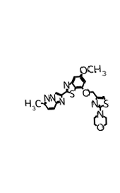 COc1cc(OCc2csc(N3CCOCC3)n2)c2sc(-c3cn4nc(C)ccc4n3)nc2c1